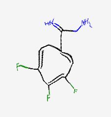 N=C(N)c1cc(F)c(F)c(F)c1